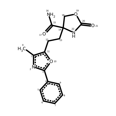 Cc1nc(-c2ccccc2)oc1CCC1(C(N)=O)COC(=O)N1